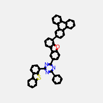 c1ccc(-c2nc(-c3ccc4oc5c(-c6ccc7c8ccccc8c8ccccc8c7c6)cccc5c4c3)nc(-c3cccc4c3sc3ccccc34)n2)cc1